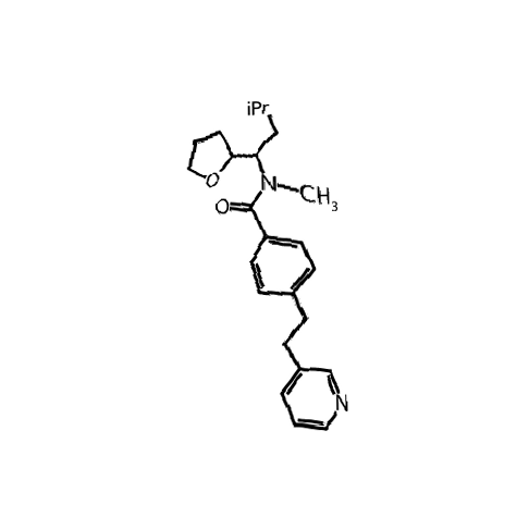 CC(C)CC(C1CCCO1)N(C)C(=O)c1ccc(CCc2cccnc2)cc1